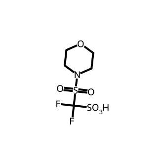 O=S(=O)(O)C(F)(F)S(=O)(=O)N1CCOCC1